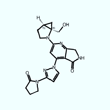 O=C1NCc2nc(N3CC[C@H]4C[C@]43CO)cc(-n3ccc(N4CCCC4=O)n3)c21